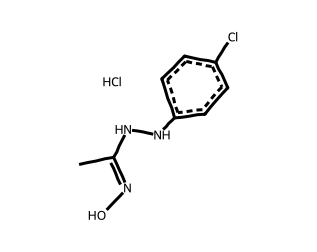 CC(=NO)NNc1ccc(Cl)cc1.Cl